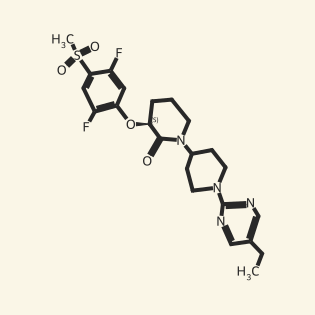 CCc1cnc(N2CCC(N3CCC[C@H](Oc4cc(F)c(S(C)(=O)=O)cc4F)C3=O)CC2)nc1